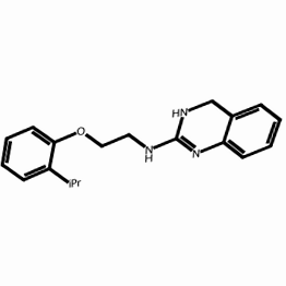 CC(C)c1ccccc1OCCNC1=Nc2ccccc2CN1